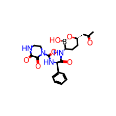 CC(=O)C[C@@H]1CC[C@H](NC(=O)[C@H](NC(=O)N2CCNC(=O)C2=O)c2ccccc2)B(O)O1